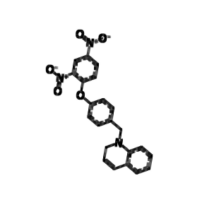 O=[N+]([O-])c1ccc(Oc2ccc(CN3CC=Cc4ccccc43)cc2)c([N+](=O)[O-])c1